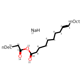 CCCCCCCCC=CCCCCCCCC(=O)OC(=O)CCCCCCCCCCC.[NaH]